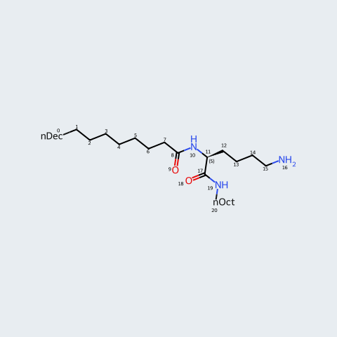 CCCCCCCCCCCCCCCCCC(=O)N[C@@H](CCCCN)C(=O)NCCCCCCCC